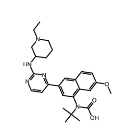 CCN1CCCC(Nc2nccc(-c3cc(N(C(=O)O)C(C)(C)C)c4cc(OC)ccc4c3)n2)C1